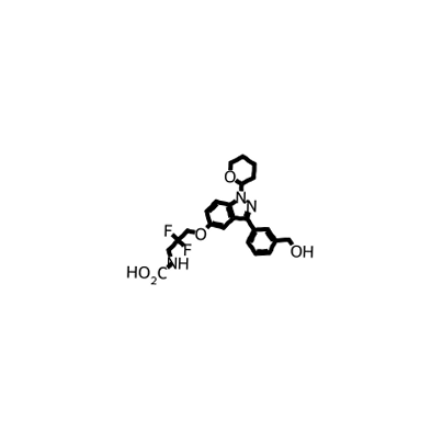 O=C(O)NCC(F)(F)COc1ccc2c(c1)c(-c1cccc(CO)c1)nn2C1CCCCO1